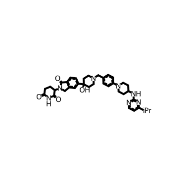 CC(C)c1ccnc(NC2CCN(c3ccc(CN4CCC(O)(c5ccc6c(c5)CN(C5CCC(=O)NC5=O)C6=O)CC4)cc3)CC2)n1